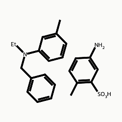 CCN(Cc1ccccc1)c1cccc(C)c1.Cc1ccc(N)cc1S(=O)(=O)O